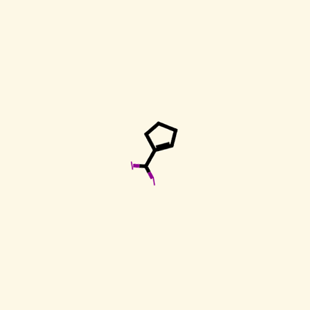 IC(I)C1=CCCC1